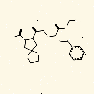 CCOC(=O)[C@H](CCc1ccccc1)N[C@@H](C)C(=O)C1CC2(CC1C(=O)O)SCCS2.[Cl-].[H+]